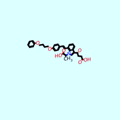 CC(C(=O)O)n1cc(C(=O)CCC(=O)O)c2cccc(C=Cc3ccc(OCCCCOc4ccccc4)cc3)c21